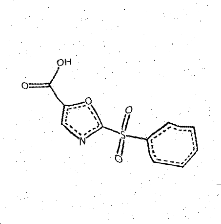 O=C(O)c1cnc(S(=O)(=O)c2ccccc2)o1